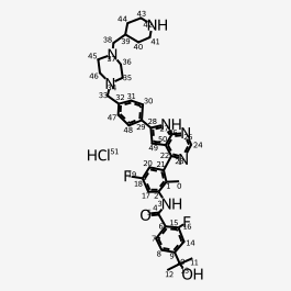 Cc1c(NC(=O)c2ccc(C(C)(C)O)cc2F)cc(F)cc1-c1ncnc2[nH]c(-c3ccc(CN4CCN(CC5CCNCC5)CC4)cc3)cc12.Cl